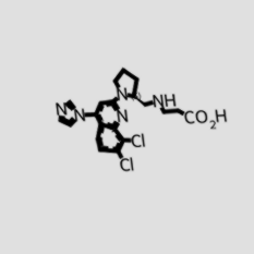 O=C(O)CCNC[C@@H]1CCCN1c1cc(-n2ccnc2)c2ccc(Cl)c(Cl)c2n1